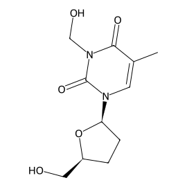 Cc1cn([C@H]2CC[C@@H](CO)O2)c(=O)n(CO)c1=O